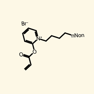 C=CC(=O)Oc1cccc[n+]1CCCCCCCCCCCCC.[Br-]